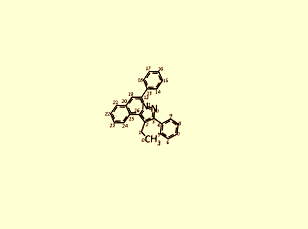 CCc1c(-c2ccccc2)nn2c(-c3ccccc3)cc3ccccc3c12